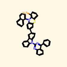 Pc1cccc2c1N(c1cccc3ccccc13)c1ccc(-c3ccc4c(c3)c3ccccc3n4-c3nc(-c4ccccc4)c4ccccc4n3)cc1S2